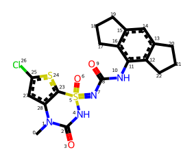 CN1C(=O)NS(=O)(=NC(=O)Nc2c3c(cc4c2CCC4)CCC3)c2sc(Cl)cc21